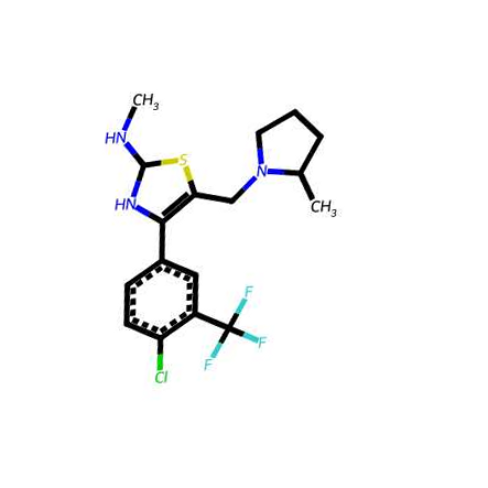 CNC1NC(c2ccc(Cl)c(C(F)(F)F)c2)=C(CN2CCCC2C)S1